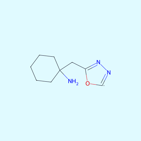 NC1(Cc2nn[c]o2)CCCCC1